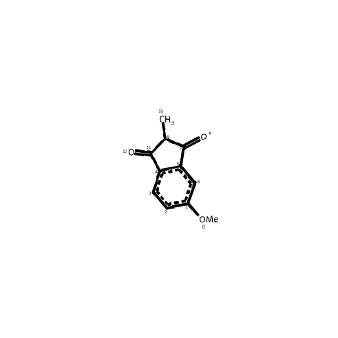 COc1ccc2c(c1)C(=O)C(C)C2=O